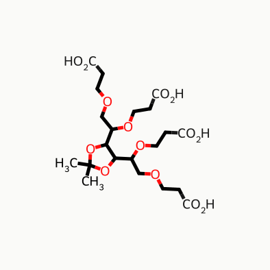 CC1(C)OC(C(COCCC(=O)O)OCCC(=O)O)C(C(COCCC(=O)O)OCCC(=O)O)O1